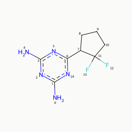 Nc1nc(N)nc(C2CCCC2(F)F)n1